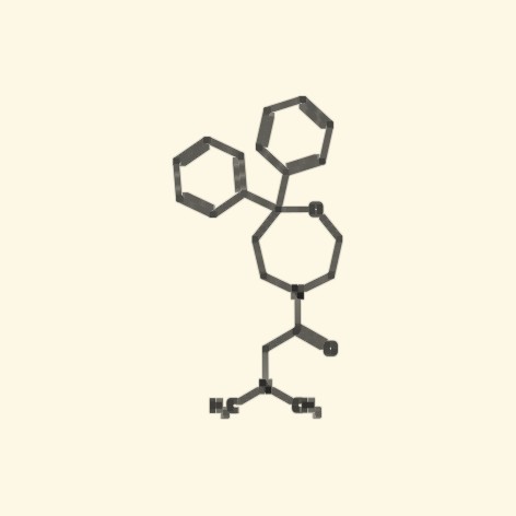 CN(C)CC(=O)N1CCOC(c2ccccc2)(c2ccccc2)CC1